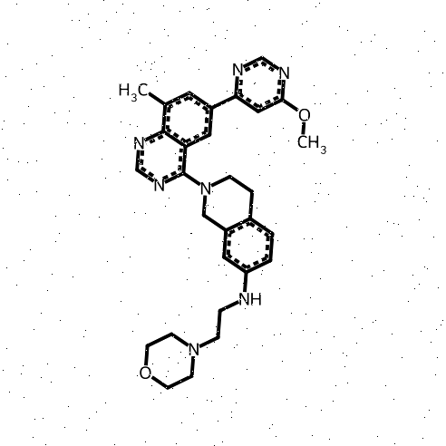 COc1cc(-c2cc(C)c3ncnc(N4CCc5ccc(NCCN6CCOCC6)cc5C4)c3c2)ncn1